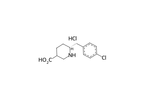 Cl.O=C(O)C1CC[C@H](Cc2ccc(Cl)cc2)NC1